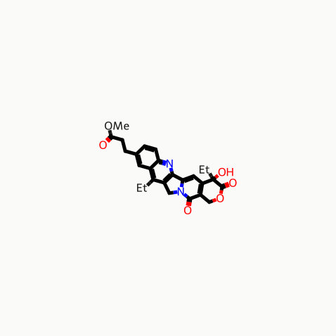 CCc1c2c(nc3ccc(CCC(=O)OC)cc13)-c1cc3c(c(=O)n1C2)COC(=O)C3(O)CC